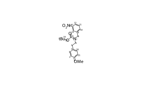 COc1ccc(CCN(Cc2cccc([N+](=O)[O-])c2)C(=O)OC(C)(C)C)cc1